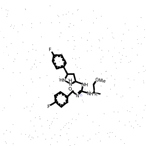 COC[C@@H](C)N/C(=N/C(=O)c1ccc(F)cc1)NC1CC(c2ccc(F)cc2)NN1